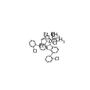 CCC1=Cc2c(-c3ccccc3Cl)cccc2[CH]1[Zr]([Cl])([Cl])([CH]1C(CC)=Cc2c(-c3ccccc3Cl)cccc21)[SiH](C)C